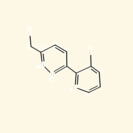 Fc1cccnc1-c1ccc(CCl)nn1